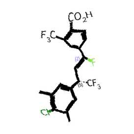 Cc1cc([C@H](/C=C(\F)c2ccc(C(=O)O)c(C(F)(F)F)c2)C(F)(F)F)cc(C)c1Cl